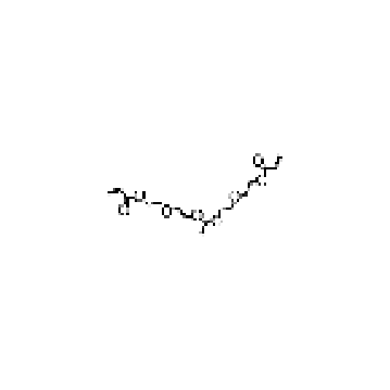 C=CC(=O)OCCOCCOC(C)OCCOCCOC(=O)C=C